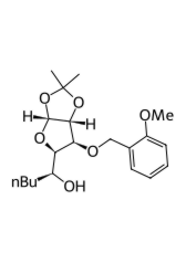 CCCC[C@H](O)[C@H]1O[C@@H]2OC(C)(C)O[C@@H]2[C@H]1OCc1ccccc1OC